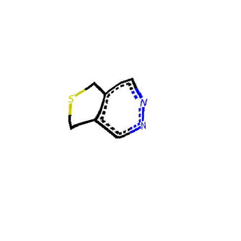 c1nncc2c1CSC2